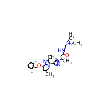 CCN(CC)CCNC(=O)CC(C)n1cc(-c2c(C)nc3c(OCc4c(F)cccc4F)cc(C)cn23)cn1